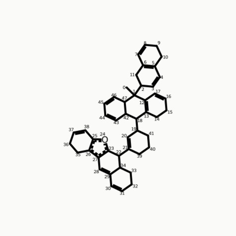 CC1(C2C=CC3=C(C=CCC3)C2)C2=C(CCC=C2)C(C2C=C(C3c4oc5c(c4C=C4C=CCCC43)CCC=C5)CCC2)C2C=CC=CC21